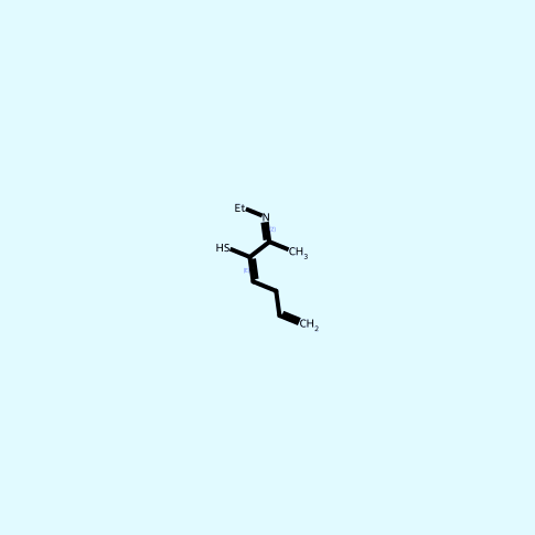 C=CC/C=C(S)\C(C)=N/CC